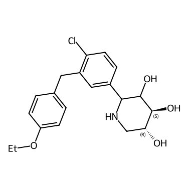 CCOc1ccc(Cc2cc(C3NC[C@@H](O)[C@H](O)C3O)ccc2Cl)cc1